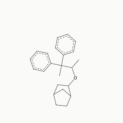 CC(OC1CC2CCC1C2)C(C)(c1ccccc1)c1ccccc1